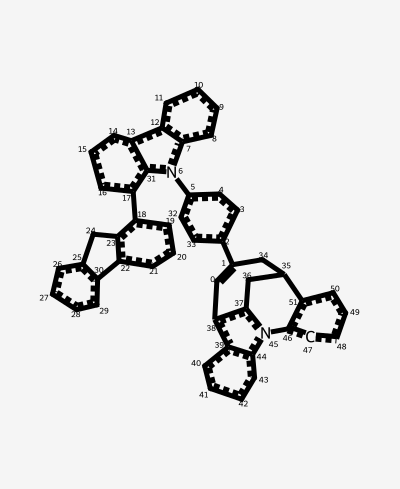 C1=C(c2ccc(-n3c4ccccc4c4cccc(-c5cccc6c5Cc5ccccc5-6)c43)cc2)CC2Cc3c1c1ccccc1n3-c1ccccc12